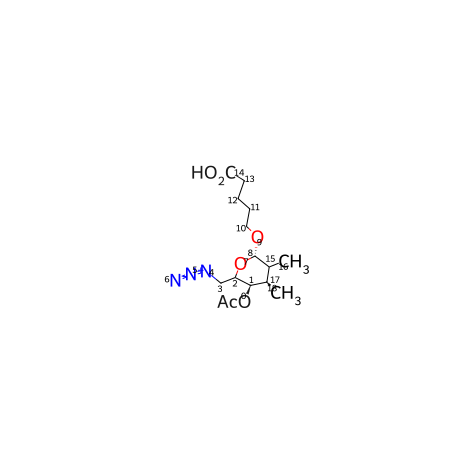 CC(=O)O[C@H]1C(CN=[N+]=[N-])O[C@H](OCCCCC(=O)O)C(C)[C@H]1C